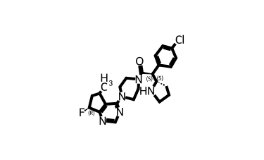 CC1C[C@@H](F)c2ncnc(N3CCN(C(=O)[C@@H](c4ccc(Cl)cc4)[C@@H]4CCCN4)CC3)c21